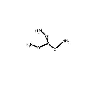 NOP(ON)ON